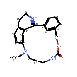 CN1CCCNC(=O)OCc2cccc(c2)C2=NCCc3ccc1cc32